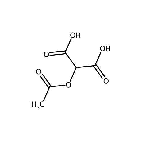 CC(=O)OC(C(=O)O)C(=O)O